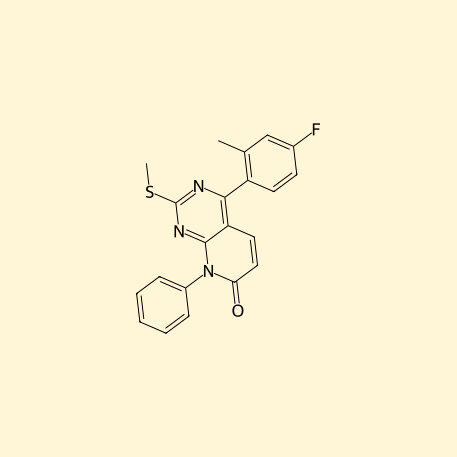 CSc1nc(-c2ccc(F)cc2C)c2ccc(=O)n(-c3ccccc3)c2n1